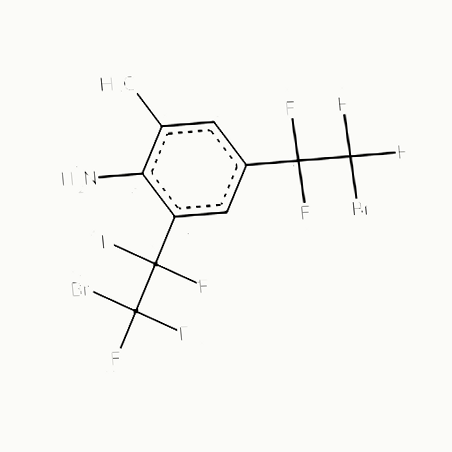 Cc1cc(C(F)(F)C(F)(F)Br)cc(C(F)(F)C(F)(F)Br)c1N